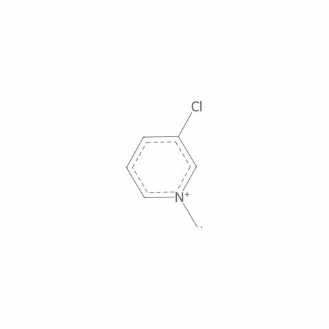 [CH2][n+]1cccc(Cl)c1